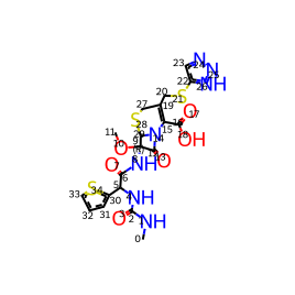 CNC(=O)NC(C(=O)N[C@@]1(OC)C(=O)N2C(C(=O)O)=C(CSc3cnn[nH]3)CSC21)c1cccs1